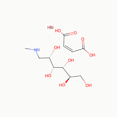 Br.CNC[C@H](O)[C@@H](O)[C@H](O)[C@H](O)CO.O=C(O)/C=C\C(=O)O